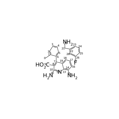 Cc1ccccc1-c1c(C(=O)O)c(N)nc2c(N)cccc12.NCc1cccc(F)c1